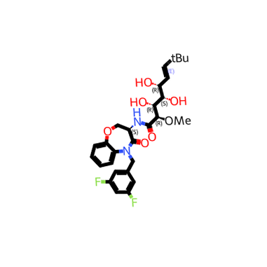 CO[C@@H](C(=O)N[C@H]1COc2ccccc2N(Cc2cc(F)cc(F)c2)C1=O)[C@H](O)[C@@H](O)[C@H](O)/C=C/C(C)(C)C